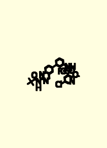 COc1ncc(Cl)cc1S(=O)(=O)Nc1cccc(-c2ccc3nc(NC(=O)C(C)(C)C)ncc3c2)c1F